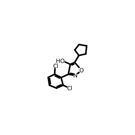 Oc1c(-c2c(Cl)cccc2Cl)noc1C1CCCC1